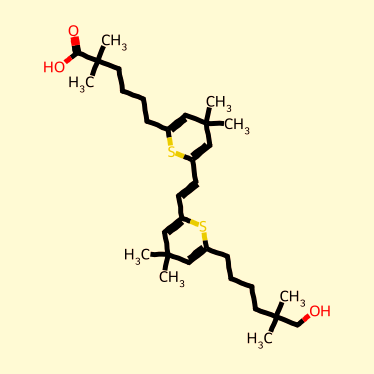 CC1(C)C=C(/C=C/C2=CC(C)(C)C=C(CCCCC(C)(C)C(=O)O)S2)SC(CCCCC(C)(C)CO)=C1